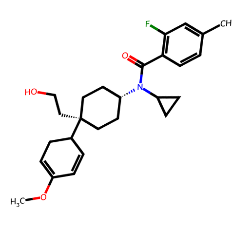 COC1=CCC([C@]2(CCO)CC[C@@H](N(C(=O)c3ccc(C)cc3F)C3CC3)CC2)C=C1